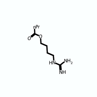 CCCC(=O)OCCCCNC(=N)N